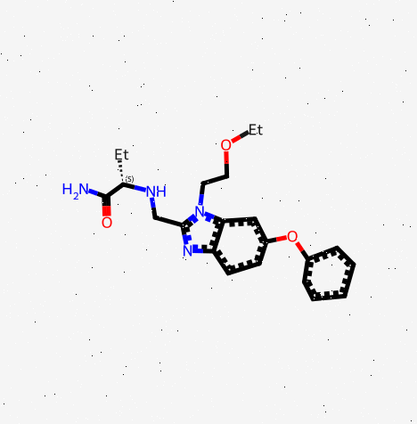 CCOCCn1c(CN[C@@H](CC)C(N)=O)nc2ccc(Oc3ccccc3)cc21